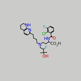 CC(C)(O)C(F)CN(CCCCc1ccc2c(n1)NCCC2)CCC(NC(=O)c1cccc(F)c1Cl)C(=O)O